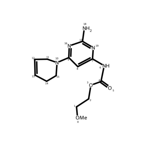 COCCOC(=O)Nc1cc(N2CC=CCC2)nc(N)n1